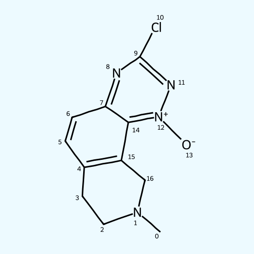 CN1CCc2ccc3nc(Cl)n[n+]([O-])c3c2C1